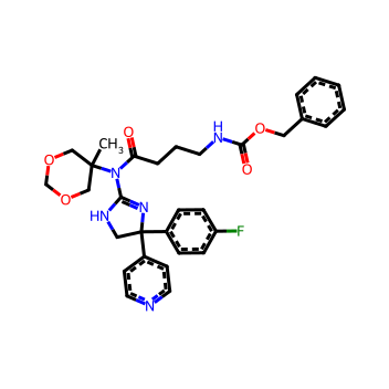 CC1(N(C(=O)CCCNC(=O)OCc2ccccc2)C2=NC(c3ccncc3)(c3ccc(F)cc3)CN2)COCOC1